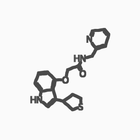 O=C(COc1cccc2[nH]cc(C3CCSC3)c12)NCc1ccccn1